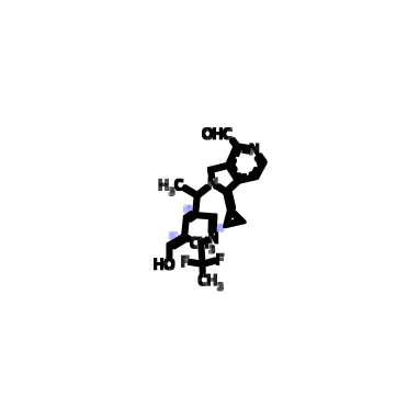 CC(/C=C(\C=N/CC(C)(F)F)C(C)N1Cc2c(ccnc2C=O)C1=C1CC1)=C\O